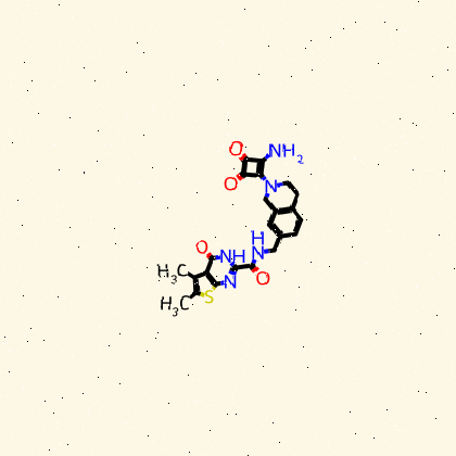 Cc1sc2nc(C(=O)NCc3ccc4c(c3)CN(c3c(N)c(=O)c3=O)CC4)[nH]c(=O)c2c1C